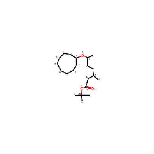 CC(CCC(C)OC1CCCCCCCC1)CC(=O)OC(C)(C)C